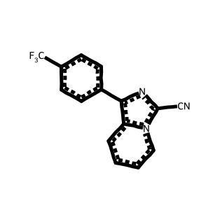 N#Cc1nc(-c2ccc(C(F)(F)F)cc2)c2ccccn12